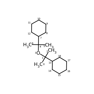 CC(C)(OC(C)(C)C1CCCCC1)C1CCCCC1